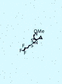 CON=Cc1sc(SCCC(F)=C(F)F)nc1C1CC1